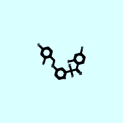 O=C(c1ccc(F)cc1F)C(F)(F)c1cc(OCc2ccc(F)cc2F)ccn1